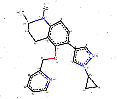 CC(=O)N1c2ccc(-c3cnn(C4CC4)c3)c(OCc3ccccn3)c2CC[C@@H]1C